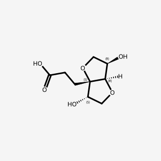 O=C(O)CC[C@@]12OC[C@@H](O)[C@H]1OC[C@@H]2O